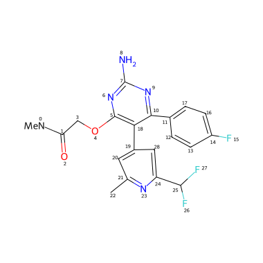 CNC(=O)COc1nc(N)nc(-c2ccc(F)cc2)c1-c1cc(C)nc(C(F)F)c1